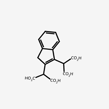 O=C(O)C(C(=O)O)C1=C(C(C(=O)O)C(=O)O)c2ccccc2C1